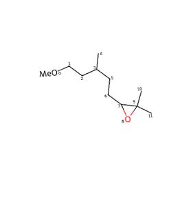 COCCC(C)CCC1OC1(C)C